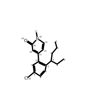 CCCC(CC)c1ccc(Cl)cc1-c1ccn(C)c(=O)c1